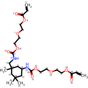 C=CC(=O)OCCOCCOC(=O)NCC1(C)CC(NC(=O)OCCOCCOC(=O)C=C)CC(C)(C)C1